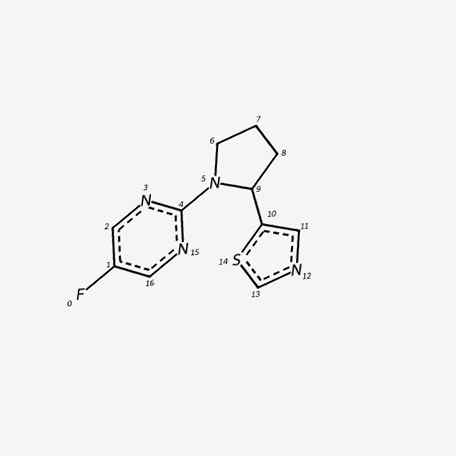 Fc1cnc(N2CCCC2c2cncs2)nc1